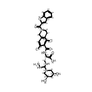 NNC(NC[C@H](NC(=O)c1c(Cl)cc2c(c1Cl)CCN(C(=O)c1cc3ccccc3o1)C2)C(=O)O)N1C[C@H](O)C[C@H](O)C1